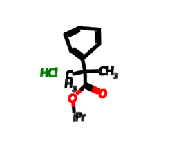 CC(C)OC(=O)C(C)(C)c1ccccc1.Cl